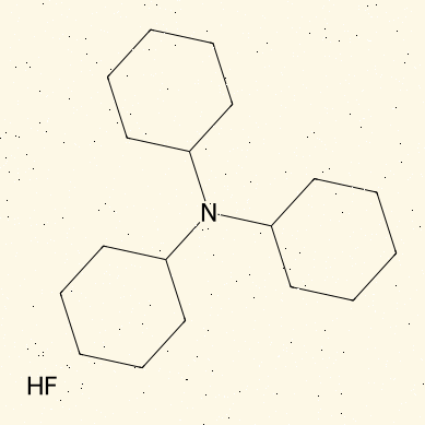 C1CCC(N(C2CCCCC2)C2CCCCC2)CC1.F